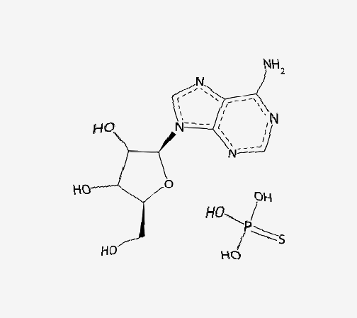 Nc1ncnc2c1ncn2[C@H]1O[C@@H](CO)C(O)C1O.OP(O)(O)=S